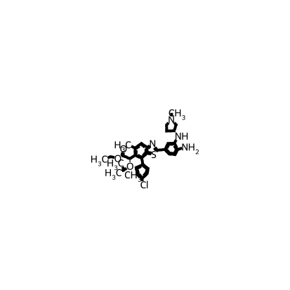 CCOC(=O)[C@@H](OC(C)(C)C)c1c(C)cc2nc(-c3ccc(N)c(N[C@@H]4CCN(C)C4)c3)sc2c1-c1ccc(Cl)cc1